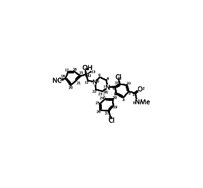 CNC(=O)c1ccc(N2CCN(C[C@@](C)(O)c3ccc(C#N)cc3)C[C@H]2c2ccc(Cl)cc2)c(Cl)c1